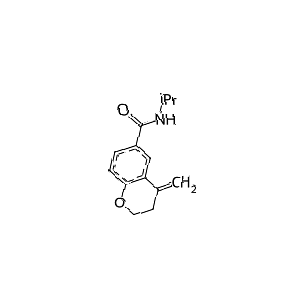 C=C1CCOc2ccc(C(=O)NC(C)C)cc21